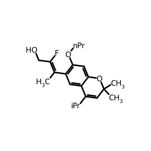 CCCOc1cc2c(cc1C(C)=C(F)CO)C(C(C)C)=CC(C)(C)O2